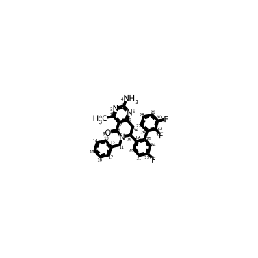 Cc1nc(N)nc2c1C(=O)N(Cc1ccccc1)C(c1ccc(F)cc1-c1cccc(F)c1F)C2